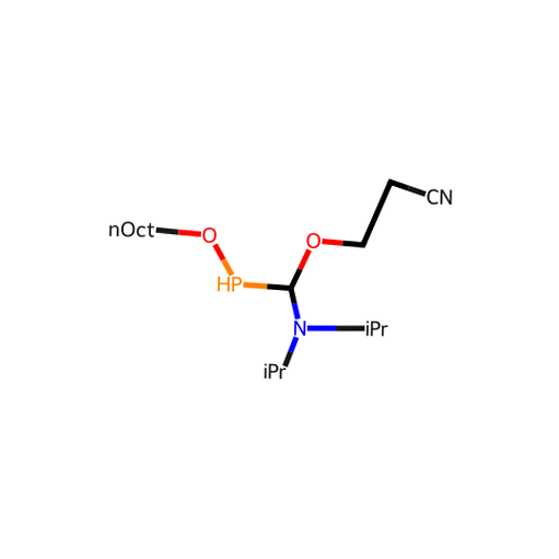 CCCCCCCCOPC(OCCC#N)N(C(C)C)C(C)C